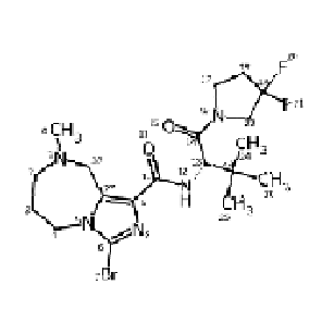 CN1CCCn2c(Br)nc(C(=O)N[C@H](C(=O)N3CCC(F)(F)C3)C(C)(C)C)c2C1